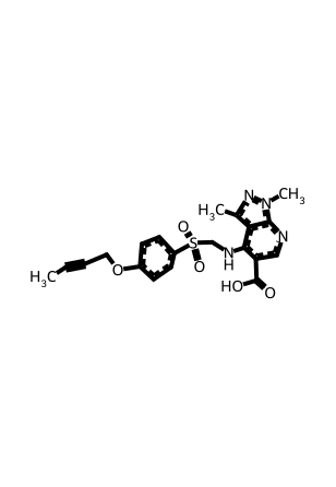 CC#CCOc1ccc(S(=O)(=O)CNc2c(C(=O)O)cnc3c2c(C)nn3C)cc1